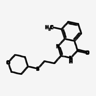 Cc1cccc2c(=O)[nH]c(CCSC3CCOCC3)nc12